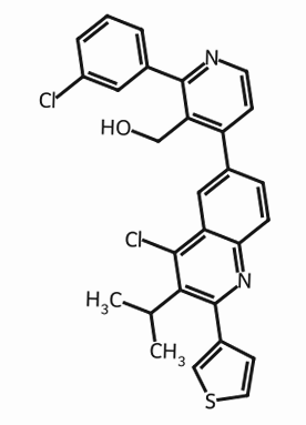 CC(C)c1c(-c2ccsc2)nc2ccc(-c3ccnc(-c4cccc(Cl)c4)c3CO)cc2c1Cl